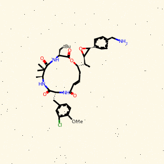 COc1ccc(C[C@H]2NC(=O)/C=C/C[C@@H](C(C)[C@H]3O[C@@H]3c3ccc(CN)cc3)OC(=O)[C@H](CC(C)(C)C)NC(=O)C(C)(C)[C@H](C)NC2=O)cc1Cl